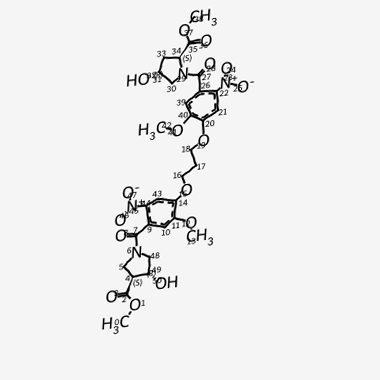 COC(=O)[C@H]1CN(C(=O)c2cc(OC)c(OCCCOc3cc([N+](=O)[O-])c(C(=O)N4C[C@H](O)C[C@H]4C(=O)OC)cc3OC)cc2[N+](=O)[O-])C[C@@H]1O